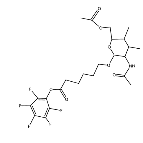 CC(=O)NC1C(OCCCCCC(=O)Oc2c(F)c(F)c(F)c(F)c2F)OC(COC(C)=O)C(C)C1C